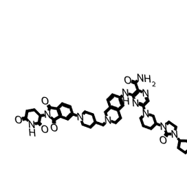 NC(=O)c1ncc(N2CCCC(N3CCN(C4CCCC4)C3=O)C2)nc1Nc1ccc2c(c1)CCN(CC1CCN(c3ccc4c(c3)C(=O)N(C3CCC(=O)NC3=O)C4=O)CC1)C2